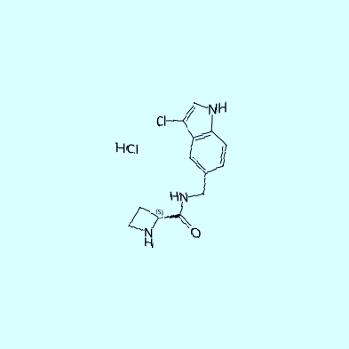 Cl.O=C(NCc1ccc2[nH]cc(Cl)c2c1)[C@@H]1CCN1